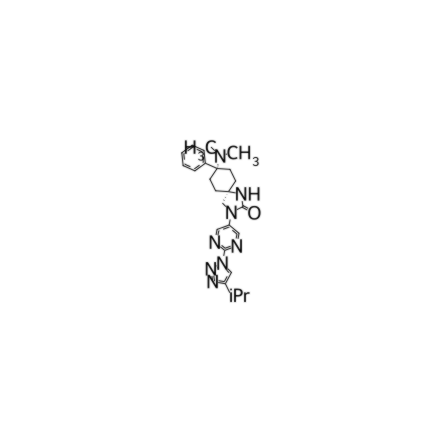 CC(C)c1cn(-c2ncc(N3C[C@]4(CC[C@@](c5ccccc5)(N(C)C)CC4)NC3=O)cn2)nn1